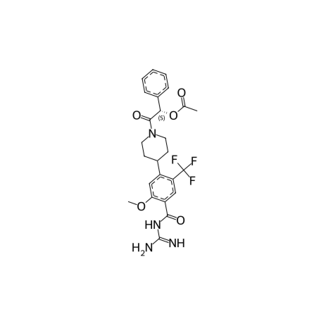 COc1cc(C2CCN(C(=O)[C@@H](OC(C)=O)c3ccccc3)CC2)c(C(F)(F)F)cc1C(=O)NC(=N)N